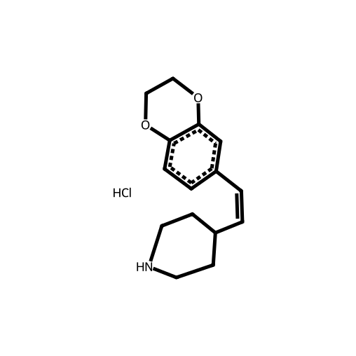 C(=C/C1CCNCC1)/c1ccc2c(c1)OCCO2.Cl